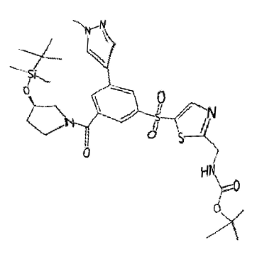 Cn1cc(-c2cc(C(=O)N3CC[C@@H](O[Si](C)(C)C(C)(C)C)C3)cc(S(=O)(=O)c3cnc(CNC(=O)OC(C)(C)C)s3)c2)cn1